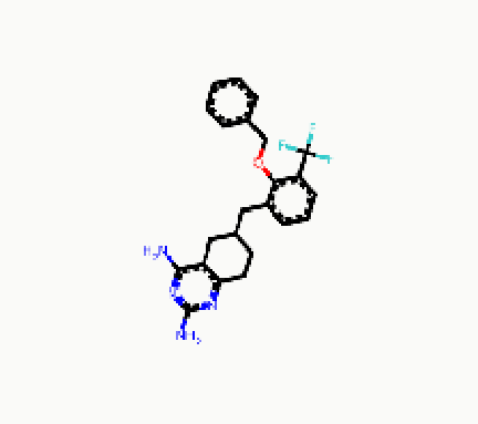 Nc1nc(N)c2c(n1)CCC(Cc1cccc(C(F)(F)F)c1OCc1ccccc1)C2